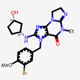 CCN1C(=O)c2c(nc(N[C@@H]3CC[C@H](O)C3)n2Cc2ccc(OC)c(Br)c2)N2CCN=C12